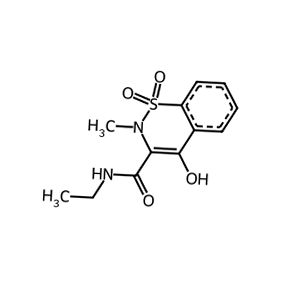 CCNC(=O)C1=C(O)c2ccccc2S(=O)(=O)N1C